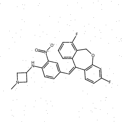 CN1CC(Nc2ccc(/C=C3/c4ccc(F)cc4OCc4c(F)cccc43)cc2[N+](=O)[O-])C1